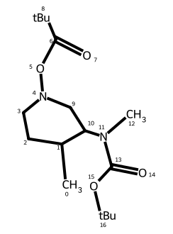 CC1CCN(OC(=O)C(C)(C)C)CC1N(C)C(=O)OC(C)(C)C